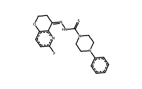 Fc1ccc2c(n1)/C(=N\NC(=S)N1CCN(c3ccccc3)CC1)CCO2